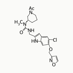 CC(=O)N1CCC[C@@H](N(C)C(=O)NCc2cc3cc(Cl)c(OCc4ccon4)cc3[nH]2)C1